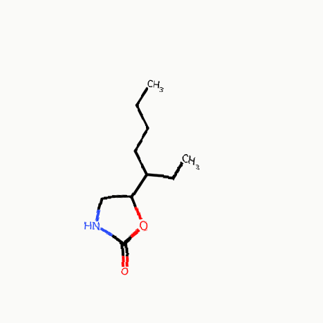 CCCCC(CC)C1CNC(=O)O1